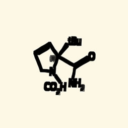 CC(C)(C)[C@]1(C(N)=O)C=CCN1C(=O)O